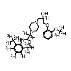 [2H]c1c([2H])c(C([2H])([2H])[2H])c(NC(=O)C([2H])([2H])N2CCN(CC([2H])(O)COc3ccccc3OC([2H])([2H])[2H])CC2)c(C([2H])([2H])[2H])c1[2H]